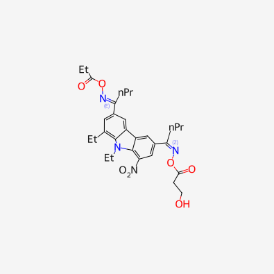 CCC/C(=N/OC(=O)CCO)c1cc([N+](=O)[O-])c2c(c1)c1cc(/C(CCC)=N/OC(=O)CC)cc(CC)c1n2CC